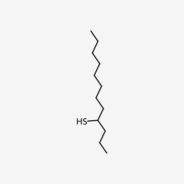 CCCCCCCCC(S)CCC